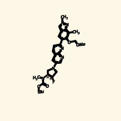 COCOc1c(-c2ccc3cc(N4C[C@@H](F)[C@@H](N(C)C(=O)OC(C)(C)C)C4)cnc3n2)cc2cn(C)nc2c1C